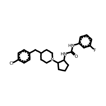 O=C(Nc1cccc(F)c1)NC1CCCC1N1CCC(Cc2ccc(Cl)cc2)CC1